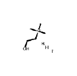 C[N+](C)(C)CCO.I.I.[I-]